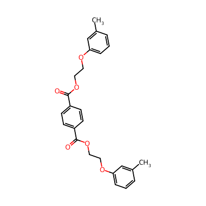 Cc1cccc(OCCOC(=O)c2ccc(C(=O)OCCOc3cccc(C)c3)cc2)c1